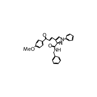 COc1ccc(C(=O)C=Cc2cn(-c3ccccc3)nc2C(=O)NCc2ccccc2)cc1